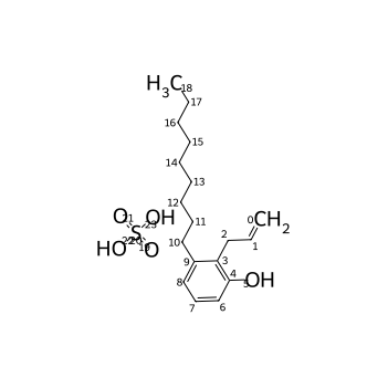 C=CCc1c(O)cccc1CCCCCCCCC.O=S(=O)(O)O